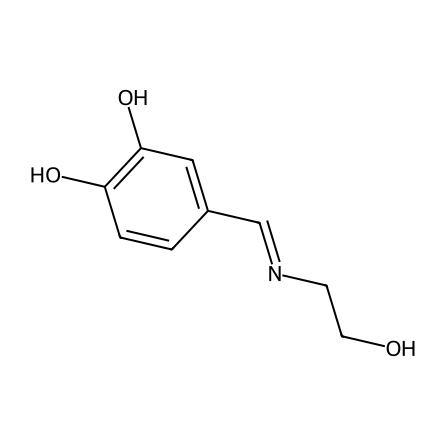 OCCN=Cc1ccc(O)c(O)c1